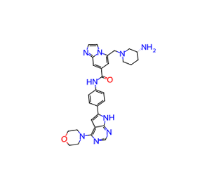 N[C@@H]1CCCN(Cc2cc(C(=O)Nc3ccc(-c4cc5c(N6CCOCC6)ncnc5[nH]4)cc3)cc3nccn23)C1